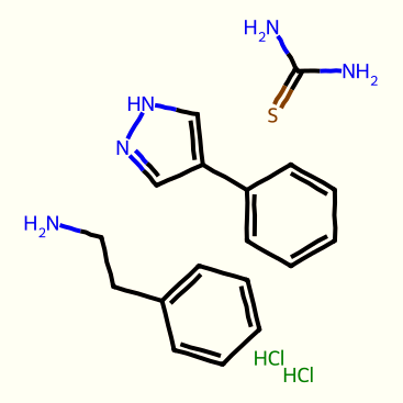 Cl.Cl.NC(N)=S.NCCc1ccccc1.c1ccc(-c2cn[nH]c2)cc1